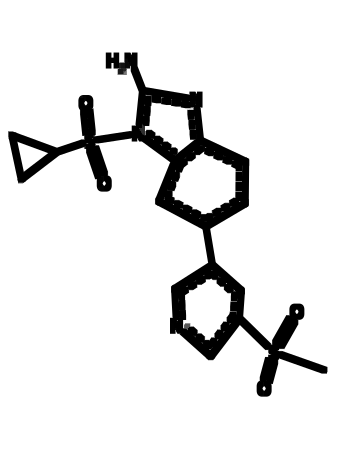 CS(=O)(=O)c1cncc(-c2ccc3nc(N)n(S(=O)(=O)C4CC4)c3c2)c1